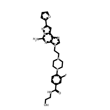 Nc1nc2c(ncn2CCN2CCN(c3ccc(C(=O)NCCO)cc3F)CC2)c2cc(-c3ccco3)nn12